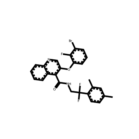 Cc1ccc(C(F)(F)CNC(=O)c2c(Oc3cccc(Br)c3F)cnc3ccccc23)c(C)c1